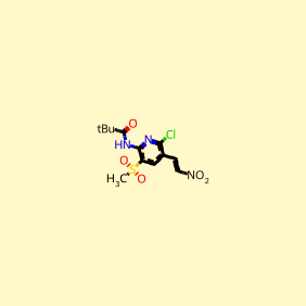 CC(C)(C)C(=O)Nc1nc(Cl)c(C=C[N+](=O)[O-])cc1S(C)(=O)=O